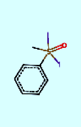 CS(=O)(I)(I)c1ccccc1